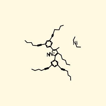 CCCCC#Cc1cc(C#CCCCC)cc(C2=C(C)C(CCCCC)=C(c3cc(C#CCCCC)cc(C#CCCCC)c3)[N+]2=[N-])c1.C[CH2][Ni][CH2]C